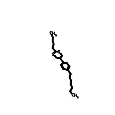 CCCCCCCc1ccc(C2CSC(CCCCC)SC2)cc1